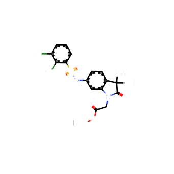 COC(=O)CN1C(=O)C(C)(C)c2ccc(NS(=O)(=O)c3cccc(Cl)c3Cl)cc21